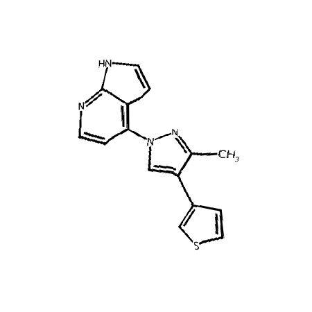 Cc1nn(-c2ccnc3[nH]ccc23)cc1-c1ccsc1